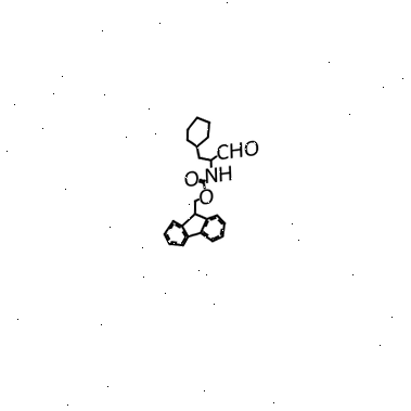 O=CC(CC1CCCCC1)NC(=O)OCC1c2ccccc2-c2ccccc21